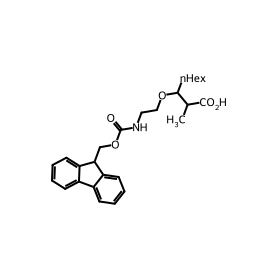 CCCCCCC(OCCNC(=O)OCC1c2ccccc2-c2ccccc21)C(C)C(=O)O